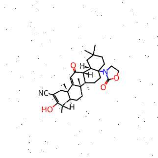 CC1(C)CC[C@]2(N3CCOC3=O)CC[C@]3(C)[C@H](C(=O)C=C4[C@@]5(C)CC(C#N)=C(O)C(C)(C)[C@@H]5CC[C@]43C)[C@@H]2C1